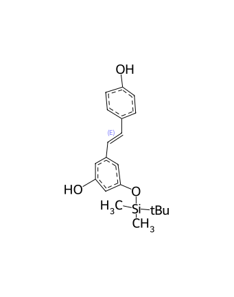 CC(C)(C)[Si](C)(C)Oc1cc(O)cc(/C=C/c2ccc(O)cc2)c1